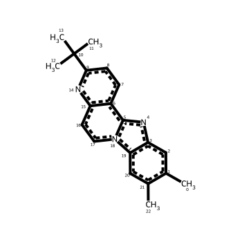 Cc1cc2nc3c4ccc(C(C)(C)C)nc4ccn3c2cc1C